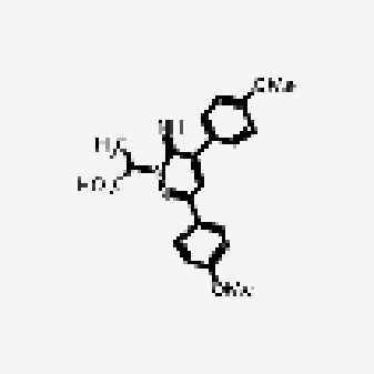 COc1ccc(-c2cc(-c3ccc(OC)cc3)c(=N)n(C(C)C(=O)O)n2)cc1